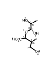 C[C@H](O)[C@H](O)OC(C(=O)O)[C@@H](C)CO